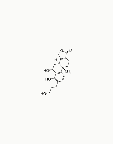 C[C@]12CCC3=C(COC3=O)[C@@H]1C[C@H](O)c1c2ccc(CCCO)c1O